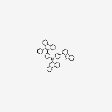 c1ccc(-c2c(-c3cccc(N(c4ccc(-c5cccc6c5sc5ccccc56)cc4)c4cc5ccccc5c5ccccc45)c3)c3ccccc3c3ccccc23)cc1